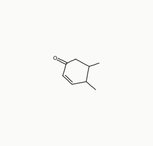 CC1C=CC(=O)CC1C